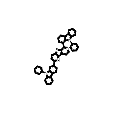 c1ccc(-n2c3ccccc3c3ccc(-c4ccc5sc6c(-c7cccc8c9ccccc9n(-c9ccccc9)c78)nccc6c5n4)cc32)cc1